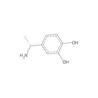 C[C@@H](N)c1ccc(O)c(O)c1